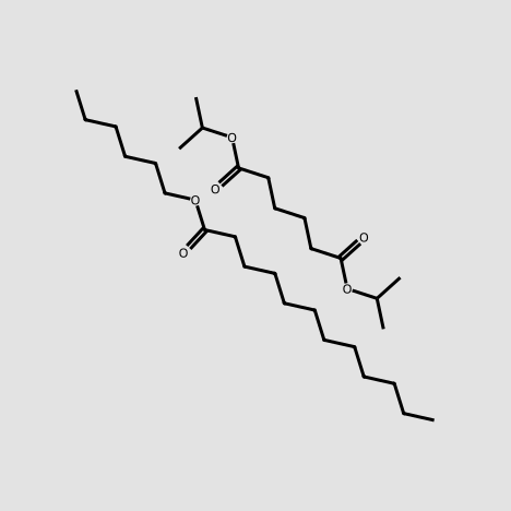 CC(C)OC(=O)CCCCC(=O)OC(C)C.CCCCCCCCCCCC(=O)OCCCCCC